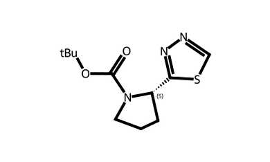 CC(C)(C)OC(=O)N1CCC[C@H]1c1nncs1